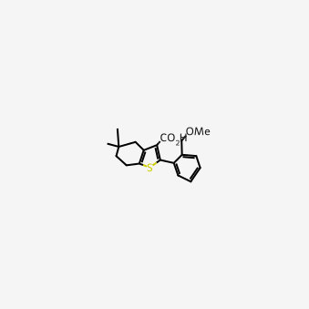 COCc1ccccc1-c1sc2c(c1C(=O)O)CC(C)(C)CC2